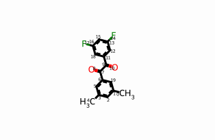 Cc1cc(C)cc(C(=O)C(=O)c2cc(F)cc(F)c2)c1